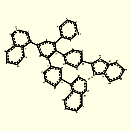 c1cncc(-c2cc(-c3cncc4ccccc34)cc(-c3cccc(-c4cncc5ccccc45)c3)c2-c2ccc(-c3nc4ccccc4s3)cc2)c1